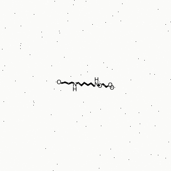 [O]CCCCNCCCCCCNOCCO[O]